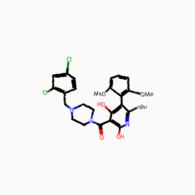 CCCCc1nc(O)c(C(=O)N2CCN(Cc3ccc(Cl)cc3Cl)CC2)c(O)c1-c1c(OC)cccc1OC